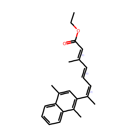 CCOC(=O)/C=C(C)/C=C/C=C(/C)c1cc(C)c2ccccc2c1C